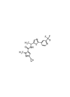 CC(NC(=O)c1cc(C2CC2)nn1C)c1cnc(-c2ccnc(C(F)(F)F)c2)s1